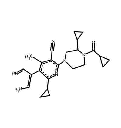 Cc1c(C#N)c(N2CCN(C(=O)C3CC3)C(C3CC3)C2)nc(C2CC2)c1/C(C=N)=C/N